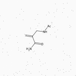 C=C(CNC(C)=O)C(N)=O